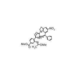 COC(=O)c1ccc(C(=O)N[C@@H]2N=C(c3ccccc3)c3cc([N+](=O)[O-])cc4c3N(CC4)C2=O)c(N=C(C)OC)c1